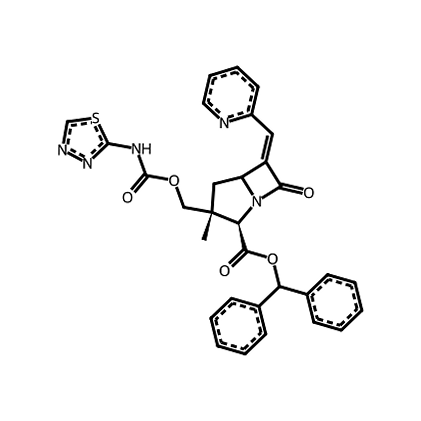 C[C@@]1(COC(=O)Nc2nncs2)CC2/C(=C\c3ccccn3)C(=O)N2[C@H]1C(=O)OC(c1ccccc1)c1ccccc1